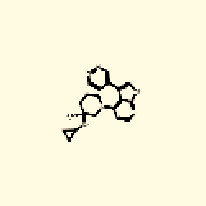 N[C@@]1(NC2CC2)CCCN(c2ccnc3[nH]cc(-c4ccnnc4)c23)C1